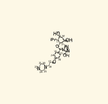 CC(C)c1cc(-c2nnc(O)n2C(=O)c2ccc(OCCN3CCN(C)CC3)cc2)c(O)cc1O